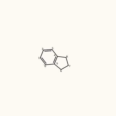 [c]1cccc2c1CCC2